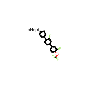 CCCCCCCc1ccc(-c2ccc(-c3ccc(OC(F)F)c(F)c3)cc2F)cc1